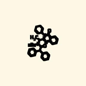 CCCCN(C(=O)C(c1ccccc1)c1ccccc1)C(C)c1nc2ccccc2c(=O)n1C1=CCCC=C1